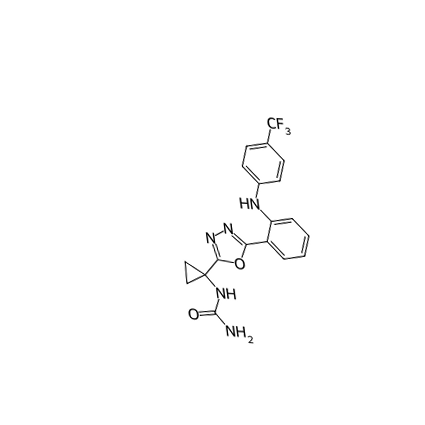 NC(=O)NC1(c2nnc(-c3ccccc3Nc3ccc(C(F)(F)F)cc3)o2)CC1